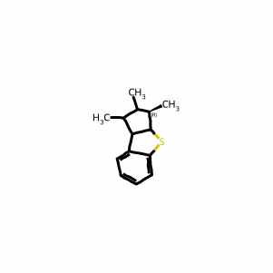 CC1C2c3ccccc3SC2[C@H](C)C1C